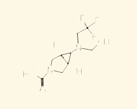 CCN(CC(F)(F)F)C1[C@H]2CN(C(=O)O)C[C@@H]12